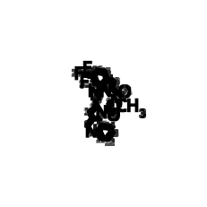 CN(CC(=O)N1CC(/C=N\c2ccccc2)CC1C#N)C(=O)c1cc2ccc(C(F)(F)F)cc2[nH]1